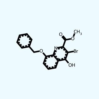 COC(=O)c1nc2c(OCc3ccccc3)cccc2c(O)c1Br